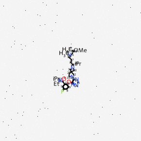 CCN(C(=O)c1cc(F)ccc1Oc1nncnc1N1CCC2(C1)CN([C@H](CCCN(C)C[C@H](C)OC)C(C)C)C2)C(C)C